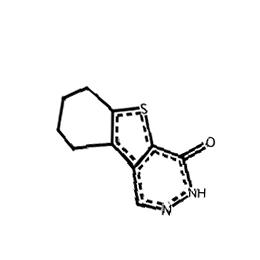 O=c1[nH]ncc2c3c(sc12)CCCC3